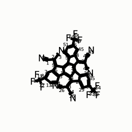 N#CC(C#N)=C1c2cc(C(F)(F)F)ccc2-c2c1c1c(c3c2C(=C(C#N)C#N)c2cc(C(F)(F)F)ccc2-3)C(=C(C#N)C#N)c2cc(C(F)(F)F)ccc2-1